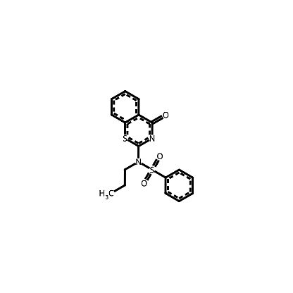 CCCN(c1nc(=O)c2ccccc2s1)S(=O)(=O)c1ccccc1